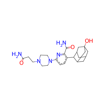 NC(=O)CCN1CCN(c2ccc(C3C4CC5CC3CC(O)(C5)C4)c(C(N)=O)n2)CC1